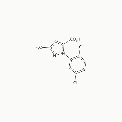 O=C(O)c1cc(C(F)(F)F)nn1-c1cc(Cl)ccc1Cl